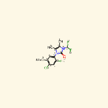 COc1cc(-n2c(C#N)c(C#N)n(C(F)F)c2=O)c(F)cc1Cl